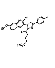 CCOC(=O)CCCC(=O)N1N=C(c2ccc(I)cc2)CC1c1cc2ccc(OCC)cc2nc1Cl